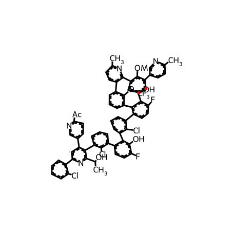 COc1c(-c2ccc(C)nc2)cccc1-c1nc(C)ccc1-c1cccc(-c2c(-c3cccc(-c4c(-c5cccc(-c6c(-c7ccc(C(C)=O)nc7)[c]c(-c7ccccc7Cl)nc6C(C)O)c5Cl)ccc(F)c4O)c3Cl)ccc(F)c2CO)c1OC(F)(F)F